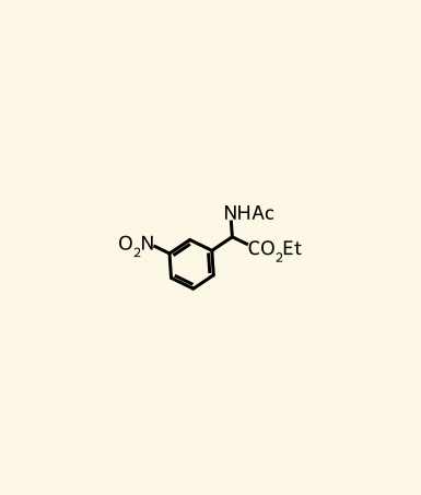 CCOC(=O)C(NC(C)=O)c1cccc([N+](=O)[O-])c1